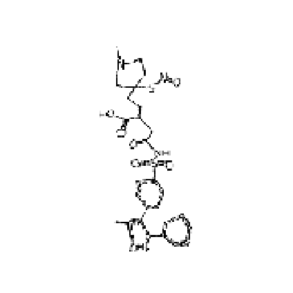 Cc1onc(-c2ccccc2)c1-c1ccc(S(=O)(=O)NC(=O)CC(CCC2(SN=O)CCN(C)CC2)C(=O)O)cc1